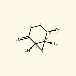 O=C1CC[C@@H](O)[C@@H]2C[C@H]12